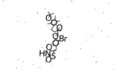 Cc1c(C)c2c(c(C)c1OC(C)C)CCC(C)(COc1ccc(C=C3SC(=O)NC3=O)cc1Br)O2